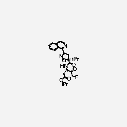 CC(C)OC(=O)C[C@H](NC(=O)[C@]1(C(C)C)CC(c2nccc3ccccc23)=NO1)C(=O)CF